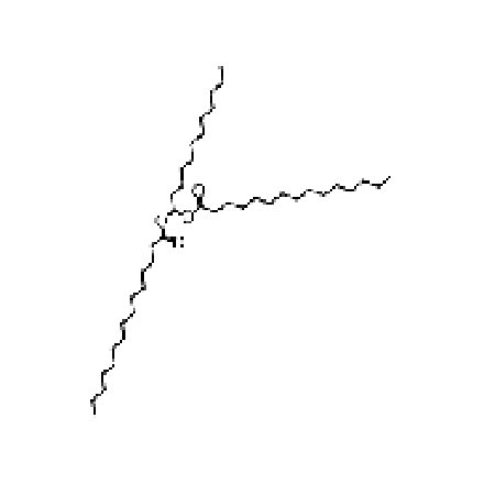 CCCCCCCCCCCCCCC(=O)OC(CCCCCCCCCCC)OC(=O)CCCCCCCCCCCCCC